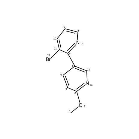 COc1ccc(-c2ncccc2Br)cn1